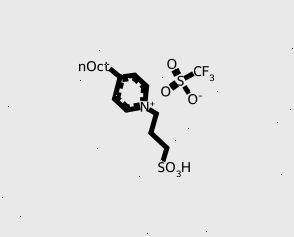 CCCCCCCCc1cc[n+](CCCS(=O)(=O)O)cc1.O=S(=O)([O-])C(F)(F)F